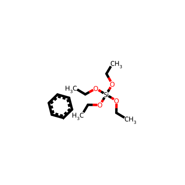 CCO[Si](OCC)(OCC)OCC.[c]1ccccc1